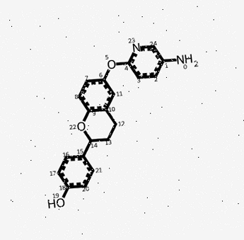 Nc1ccc(Oc2ccc3c(c2)CCC(c2ccc(O)cc2)O3)nc1